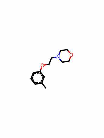 Cc1cccc(OCCN2CCOCC2)c1